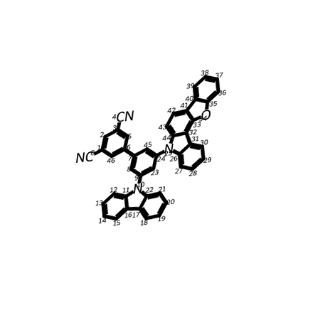 N#Cc1cc(C#N)cc(-c2cc(-n3c4ccccc4c4ccccc43)cc(-n3c4ccccc4c4c5oc6ccccc6c5ccc43)c2)c1